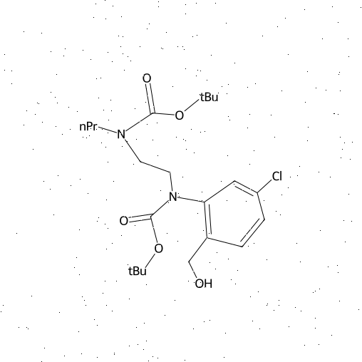 CCCN(CCN(C(=O)OC(C)(C)C)c1cc(Cl)ccc1CO)C(=O)OC(C)(C)C